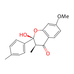 COc1ccc2c(c1)O[C@@](O)(c1ccc(C)cc1)[C@H](C)C2=O